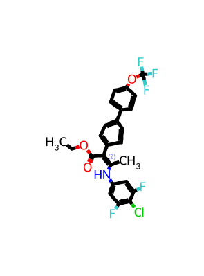 CCOC(=O)/C(=C(/C)Nc1cc(F)c(Cl)c(F)c1)c1ccc(-c2ccc(OC(F)(F)F)cc2)cc1